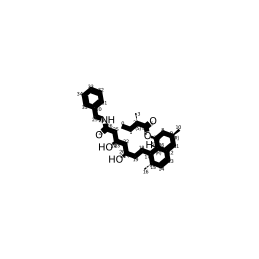 CC[C@H](C)C(=O)O[C@H]1C[C@@H](C)C=C2C=C[C@H](C)C(CC[C@@H](O)C[C@@H](O)CC(=O)NCc3ccccc3)[C@H]21